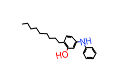 CCCCCCCCCc1ccc(Nc2ccccc2)cc1O